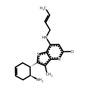 C/C=C/CNc1cc(Cl)nc2c(C)c([C@H]3CC=CC[C@@H]3N)sc12